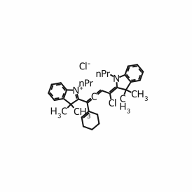 CCCN1C(=C(Cl)C=C=C(C2=CCCCC2)C2=[N+](CCC)c3ccccc3C2(C)C)C(C)(C)c2ccccc21.[Cl-]